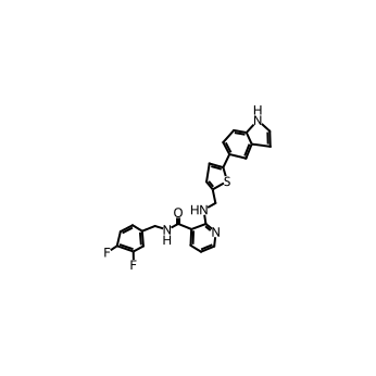 O=C(NCc1ccc(F)c(F)c1)c1cccnc1NCc1ccc(-c2ccc3[nH]ccc3c2)s1